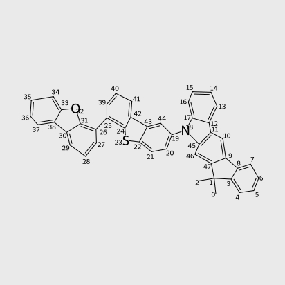 CC1(C)c2ccccc2-c2cc3c4ccccc4n(-c4ccc5sc6c(-c7cccc8c7oc7ccccc78)cccc6c5c4)c3cc21